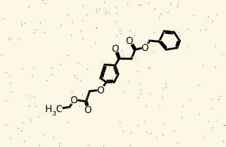 CCOC(=O)COc1ccc(C(=O)CC(=O)OCc2ccccc2)cc1